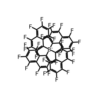 Fc1c(F)c(F)c2c([B-](c3c(F)c(F)c(F)c4c(F)c(F)c(F)c(F)c34)(c3c(F)c(F)c(F)c4c(F)c(F)c(F)c(F)c34)c3c(F)c(F)c(F)c4c(F)c(F)c(F)c(F)c34)c(F)c(F)c(F)c2c1F